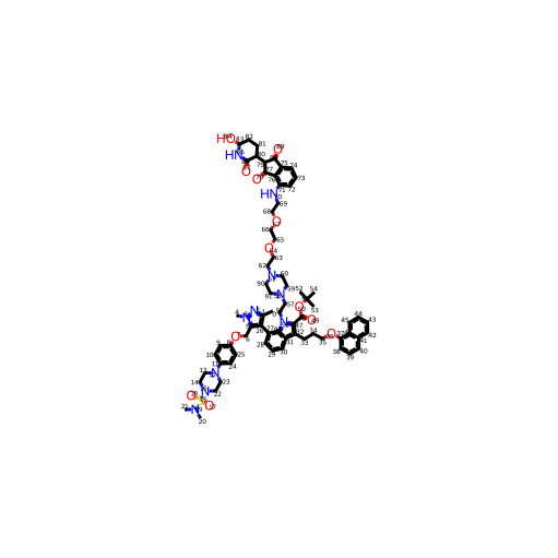 Cc1nn(C)c(COc2ccc(N3CCN(S(=O)(=O)N(C)C)CC3)cc2)c1-c1cccc2c(CCCOc3cccc4ccccc34)c(C(=O)OC(C)(C)C)n(CCN3CCN(CCOCCOCCNc4cccc5c4C(=O)C(C4CCC(O)NC4=O)C5=O)CC3)c12